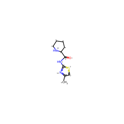 Cc1csc(NC(=O)C2CCCCN2)n1